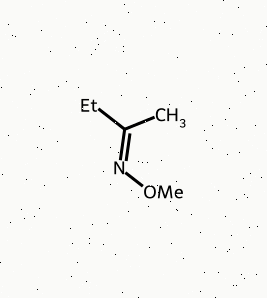 [CH2]ON=C(C)CC